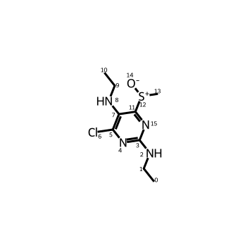 CCNc1nc(Cl)c(NCC)c([S+](C)[O-])n1